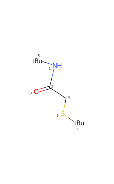 CC(C)(C)NC(=O)CSC(C)(C)C